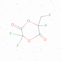 O=C1OC(F)(CF)C(=O)OC1(F)F